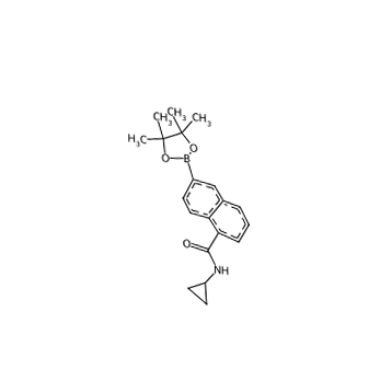 CC1(C)OB(c2ccc3c(C(=O)NC4CC4)cccc3c2)OC1(C)C